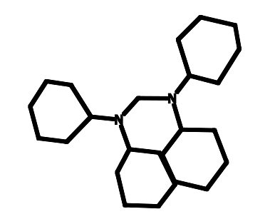 C1CCC(N(CN(C2CCCCC2)C2CCCCC2)C2CCCCC2)CC1